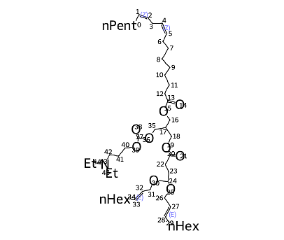 CCCCC/C=C\C/C=C\CCCCCCCC(=O)OCC(COC(=O)CCC(OC/C=C/CCCCCC)OC/C=C/CCCCCC)COC(=O)OCCCN(CC)CC